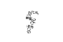 COc1cc(-c2cc(C(=O)N3CC[C@H](C(=O)NC4CCC5(CCO5)CC4)CC34CC4)n[nH]2)c(F)cn1